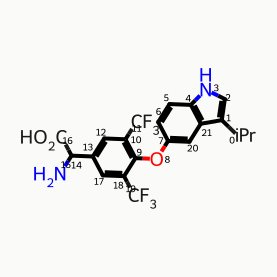 CC(C)c1c[nH]c2ccc(Oc3c(C(F)(F)F)cc(C(N)C(=O)O)cc3C(F)(F)F)cc12